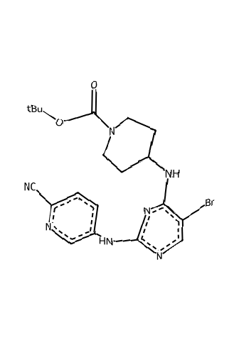 CC(C)(C)OC(=O)N1CCC(Nc2nc(Nc3ccc(C#N)nc3)ncc2Br)CC1